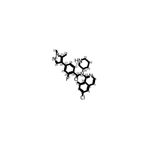 Cc1cc(Cl)cc2ccnc(N(C(=O)c3ccc(-c4cnn(C)c4C)cc3F)[C@@H]3CCCNC3)c12